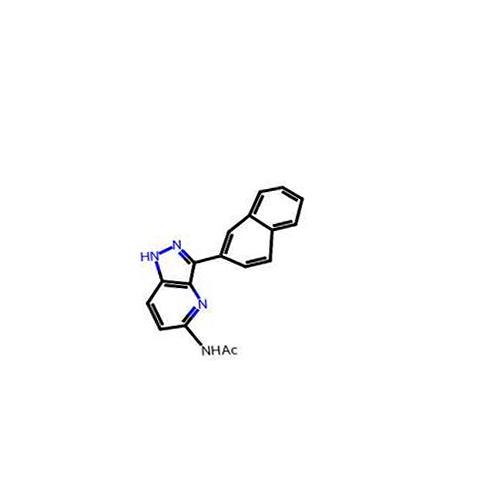 CC(=O)Nc1ccc2[nH]nc(-c3ccc4ccccc4c3)c2n1